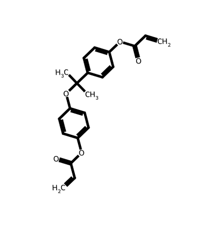 C=CC(=O)Oc1ccc(OC(C)(C)c2ccc(OC(=O)C=C)cc2)cc1